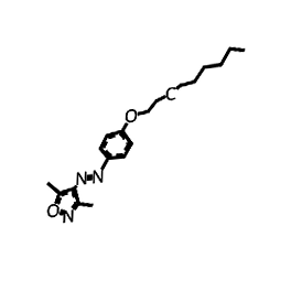 CCCCCCCCCOc1ccc(/N=N/c2c(C)noc2C)cc1